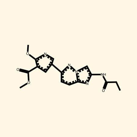 CCC(=O)Nc1cn2nc(-c3cnc(OC)c(C(=O)OC)c3)ccc2n1